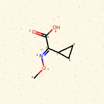 CO/N=C(/C(=O)O)C1CC1